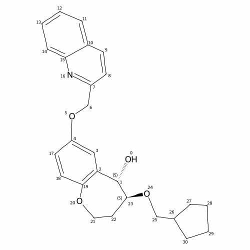 O[C@H]1c2cc(OCc3ccc4ccccc4n3)ccc2OCC[C@@H]1OCC1CCCC1